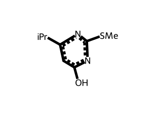 CSc1nc(O)cc(C(C)C)n1